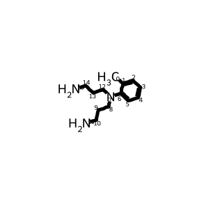 Cc1ccccc1N(CCCN)CCCN